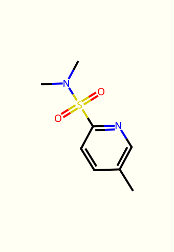 Cc1ccc(S(=O)(=O)N(C)C)nc1